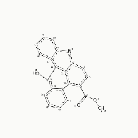 COC(=O)c1ccc2nc3ccccc3c(C(=O)O)c2c1-c1ccccc1